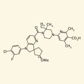 CO[C@@H]1CCC2(C1)CN(c1ccc(Cl)c(F)c1)c1ccc(C(=O)N3CCN(c4cc(C)c(C(=O)O)c(C)n4)CC3(C)C)nc12